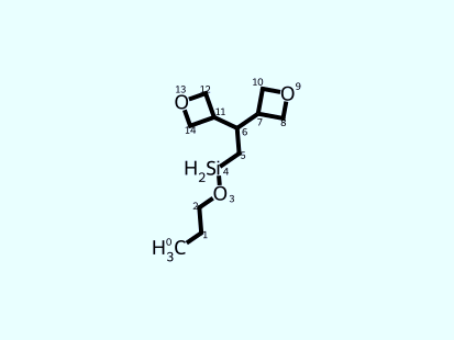 CCCO[SiH2]CC(C1COC1)C1COC1